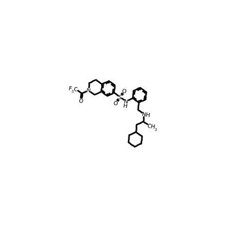 CC(CC1CCCCC1)NCc1ccccc1NS(=O)(=O)c1ccc2c(c1)CN(C(=O)C(F)(F)F)CC2